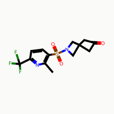 Cc1nc(C(F)(F)F)ccc1S(=O)(=O)N1CC2(CC(=O)C2)C1